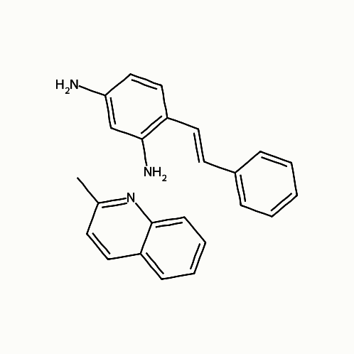 Cc1ccc2ccccc2n1.Nc1ccc(C=Cc2ccccc2)c(N)c1